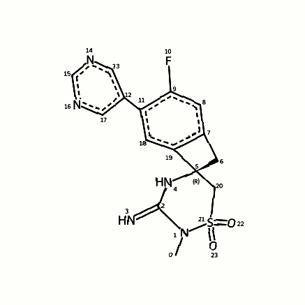 CN1C(=N)N[C@@]2(Cc3cc(F)c(-c4cncnc4)cc32)CS1(=O)=O